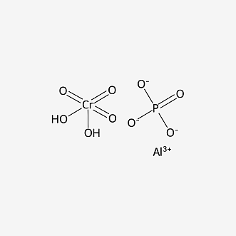 O=P([O-])([O-])[O-].[Al+3].[O]=[Cr](=[O])(=[O])([OH])[OH]